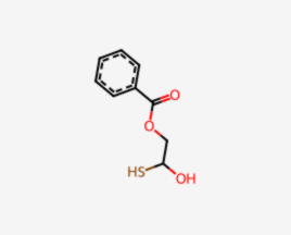 O=C(OCC(O)S)c1ccccc1